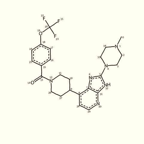 CN1CCN(c2nc3c(C4CCN(C(=O)c5ccc(OC(F)(F)F)cc5)CC4)ccnc3[nH]2)CC1